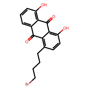 O=C1c2c(O)cccc2C(=O)c2c(CCCCBr)ccc(O)c21